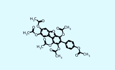 CC(=O)Oc1ccc(-c2c(OC(C)=O)c(OC(C)=O)c3c(oc4cc(OC(C)=O)c(OC(C)=O)cc43)c2OC(C)=O)cc1